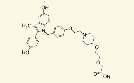 Cc1c(-c2ccc(O)cc2)n(Cc2ccc(OCCN3CCC(OCCOCC(=O)O)CC3)cc2)c2ccc(O)cc12